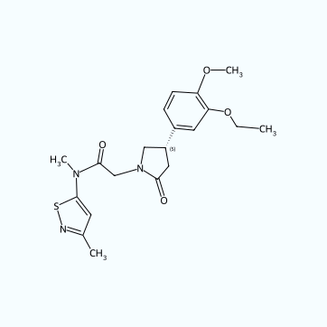 CCOc1cc([C@@H]2CC(=O)N(CC(=O)N(C)c3cc(C)ns3)C2)ccc1OC